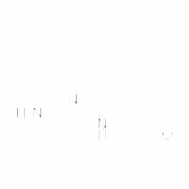 NN1CC=CC(=O)N1